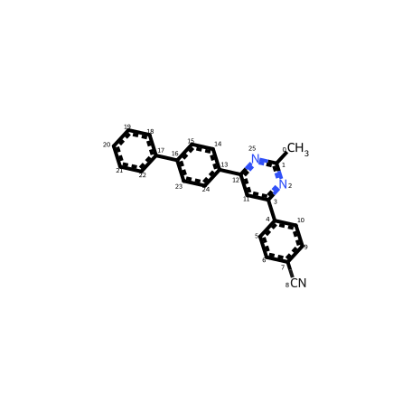 Cc1nc(-c2ccc(C#N)cc2)cc(-c2ccc(-c3ccccc3)cc2)n1